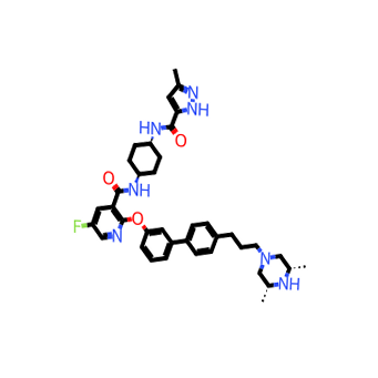 Cc1cc(C(=O)N[C@H]2CC[C@H](NC(=O)c3cc(F)cnc3Oc3cccc(-c4ccc(CCCN5C[C@@H](C)N[C@@H](C)C5)cc4)c3)CC2)[nH]n1